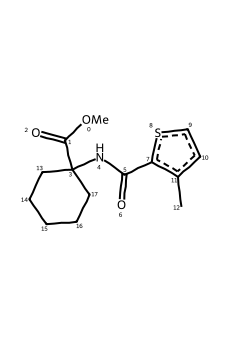 COC(=O)C1(NC(=O)c2sccc2C)CCCCC1